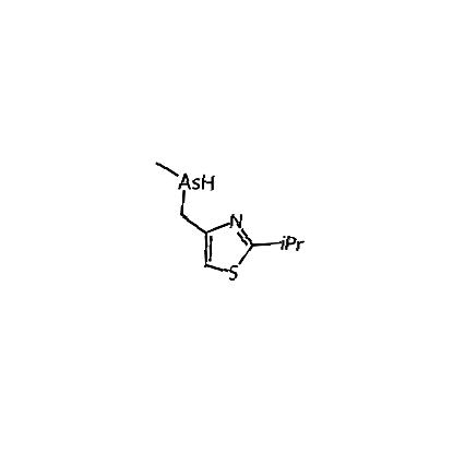 C[AsH]Cc1csc(C(C)C)n1